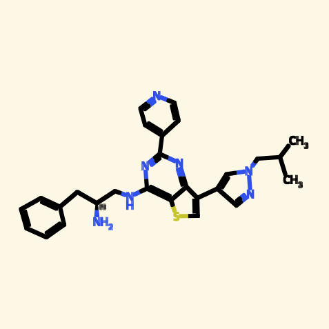 CC(C)Cn1cc(-c2csc3c(NC[C@@H](N)Cc4ccccc4)nc(-c4ccncc4)nc23)cn1